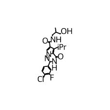 CC(CO)CNC(=O)c1cn2nc(-c3ccc(Cl)c(F)c3)[nH]c(=O)c2c1C(C)C